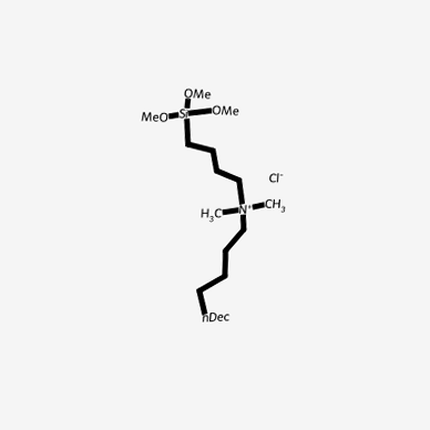 CCCCCCCCCCCCCC[N+](C)(C)CCCC[Si](OC)(OC)OC.[Cl-]